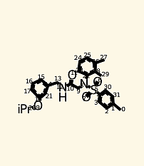 Cc1ccc(S(=O)(=O)N(CC(=O)NCc2cccc(OC(C)C)c2)c2cccc(C)c2C)cc1